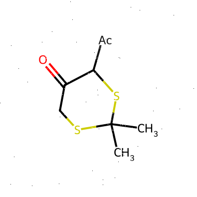 CC(=O)C1SC(C)(C)SCC1=O